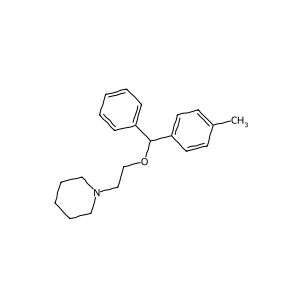 Cc1ccc(C(OCCN2CCCCC2)c2ccccc2)cc1